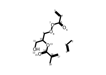 C=CC.C=CC(=O)OOCC(CO)OC(=O)C(=C)C